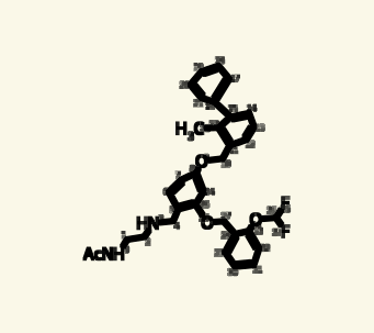 CC(=O)NCCNCc1ccc(OCc2cccc(-c3ccccc3)c2C)cc1OCc1ccccc1OC(F)F